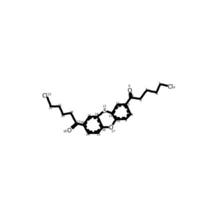 O=C(CCCCCl)c1ccc2c(c1)Sc1cc(C(=O)CCCCCl)ccc1O2